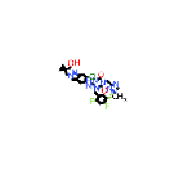 Cn1cnc(Cn2c(=O)[nH]/c(=N\c3cc4cn(CC5(CO)CC5)nc4cc3Cl)n(Cc3cc(F)c(F)cc3F)c2=O)n1